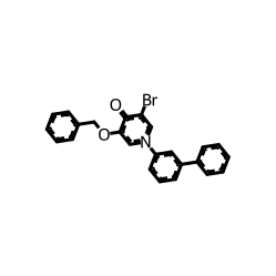 O=c1c(Br)cn(-c2cccc(-c3ccccc3)c2)cc1OCc1ccccc1